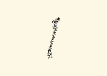 C=C(C)c1ccc(COCCCCCCCCCCCCCCCCCCc2ccc(/C=C/C(=O)c3ccc(F)cc3)cc2)cc1